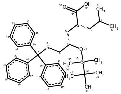 CC(C)C[C@H](C[C@@H](CSC(c1ccccc1)(c1ccccc1)c1ccccc1)O[Si](C)(C)C(C)(C)C)C(=O)O